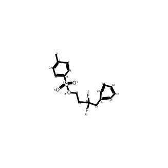 Cc1ccc(S(=O)(=O)OCCC(F)(F)Cc2ccccc2)cc1